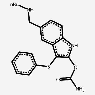 CCCCNCc1ccc2[nH]c(OC(N)=O)c(Sc3ccccc3)c2c1